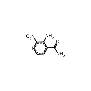 NC(=O)c1ccnc([N+](=O)[O-])c1N